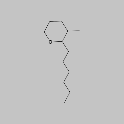 CCCCCCC1OCCCC1C